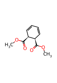 COC(=O)[C@H]1C=CC=C[C@H]1C(=O)OC